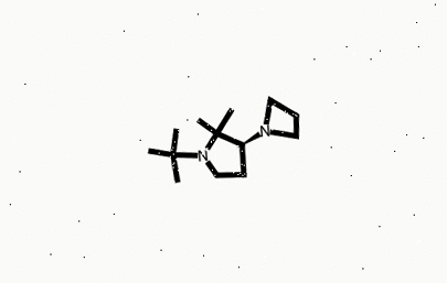 CC(C)(C)N1CC[C@H](N2CCC2)C1(C)C